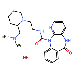 Br.CCCN(CCC)CC1CCCCN1CCNC(=O)N1c2ccccc2C(=O)Nc2cccnc21